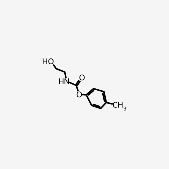 Cc1ccc(OC(=O)NCCO)cc1